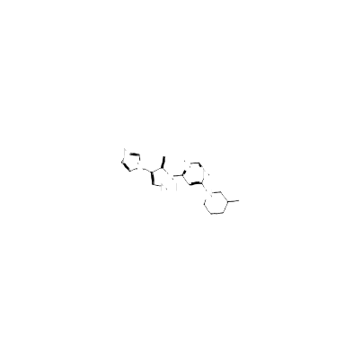 C=C1C(n2ccnc2)=CNN1c1cc(N2CCCC(C)C2)ncn1